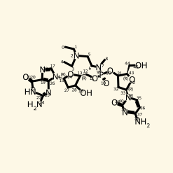 CCN(CC)CCN(C)P(=O)(OC[C@H]1O[C@@H](n2cnc3c(=O)[nH]c(N)nc32)CC1O)OC1C[C@H](n2ccc(N)nc2=O)O[C@@H]1CO